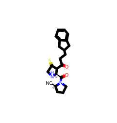 N#C[C@@H]1CCCN1C(=O)[C@H]1NCC(=S)C1C(=O)CCC1Cc2ccccc2C1